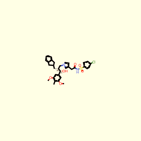 COc1cc([C@@H](O)[C@H](CC2Cc3ccccc3C2)Cn2ccc(CC(=O)NS(=O)(=O)c3ccc(Cl)cc3)c2)cc(OC)c1C